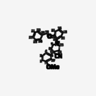 COc1cccc(C2(C#N)CCN(c3ccccc3OCc3ccccc3)CC2)c1